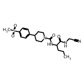 CCCC(NC(=O)N1CCC(c2ccc(S(C)(=O)=O)cc2)CC1)C(=O)NCC#N